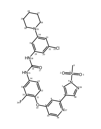 CS(=O)(=O)n1cc(-c2cc(Oc3ccc(NC(=O)Nc4cc(Cl)cc(N5CCCCC5)c4)cc3F)ccn2)cn1